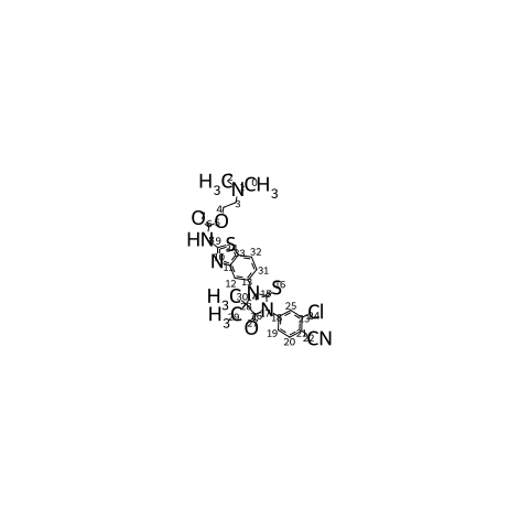 CN(C)CCOC(=O)Nc1nc2cc(N3C(=S)N(c4ccc(C#N)c(Cl)c4)C(=O)C3(C)C)ccc2s1